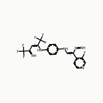 N=N/C(=C\Nc1ccc(N/C(=C\C(=N)C(F)(F)F)C(F)(F)F)cc1)c1ccncc1F